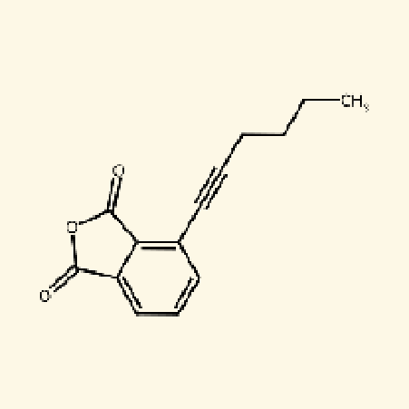 CCCCC#Cc1cccc2c1C(=O)OC2=O